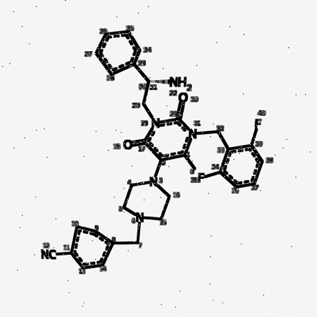 Cc1c(N2CCN(Cc3ccc(C#N)cc3)CC2)c(=O)n(C[C@@H](N)c2ccccc2)c(=O)n1Cc1c(F)cccc1F